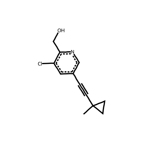 CC1(C#Cc2cnc(CO)c(Cl)c2)CC1